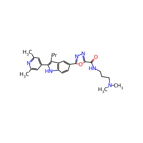 Cc1cc(-c2[nH]c3ccc(-c4nnc(C(=O)NCCCN(C)C)o4)cc3c2C(C)C)cc(C)n1